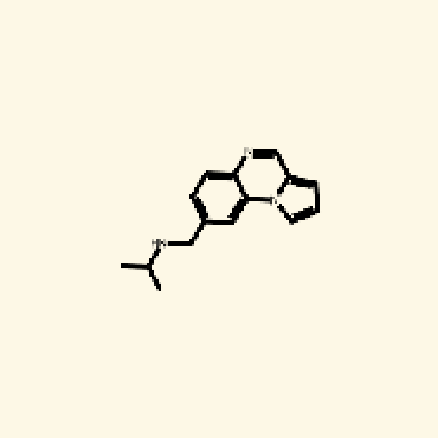 CC(C)NCc1ccc2ncc3cccn3c2c1